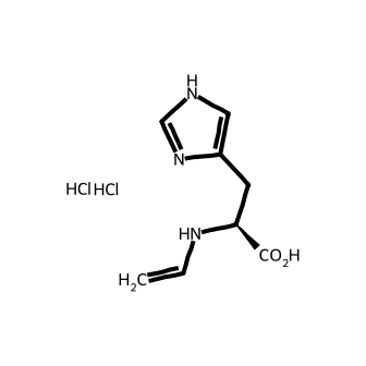 C=CN[C@@H](Cc1c[nH]cn1)C(=O)O.Cl.Cl